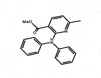 COC(=O)c1ccc(C)nc1[SiH](c1ccccc1)c1ccccc1